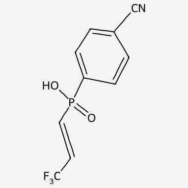 N#Cc1ccc(P(=O)(O)C=CC(F)(F)F)cc1